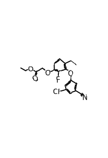 CCOC(=O)COc1ccc(CC)c(Oc2cc(Cl)cc(C#N)c2)c1F